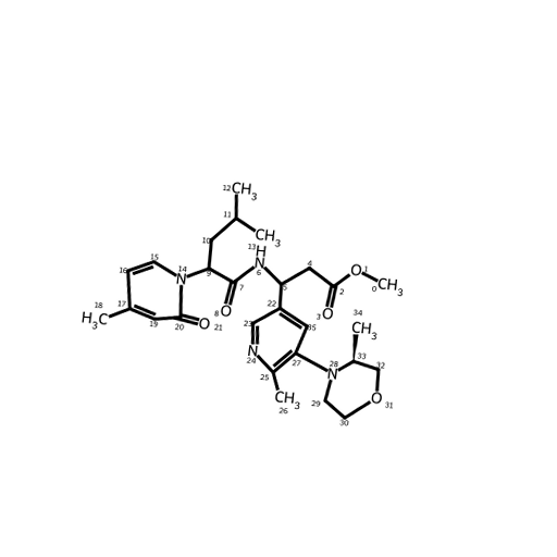 COC(=O)CC(NC(=O)C(CC(C)C)n1ccc(C)cc1=O)c1cnc(C)c(N2CCOC[C@@H]2C)c1